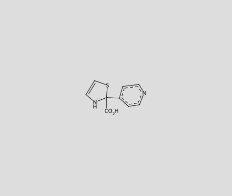 O=C(O)C1(c2ccncc2)NC=CS1